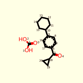 O=C(O)O.O=C(c1ccc(C2CCCCC2)cc1)C1CC1